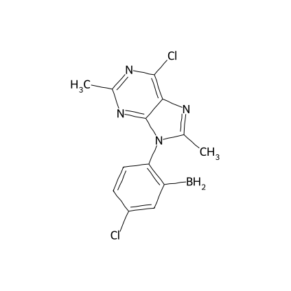 Bc1cc(Cl)ccc1-n1c(C)nc2c(Cl)nc(C)nc21